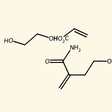 C=C(CCO)C(N)=O.C=CC(=O)O.OCCO